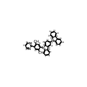 Cc1cc(-n2c3ccccc3c3cc(-n4c5ccccc5c5ccccc54)ccc32)c(C)cc1-c1ncccn1